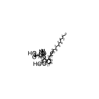 CCCCCCCCCCCCCCc1ccccc1C(CC(=O)O)SC1(CCCC(=O)O)N=NN=N1